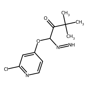 CC(C)(C)C(=O)C(N=N)Oc1ccnc(Cl)c1